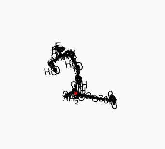 CC(C)C(NC(=O)CCOCCOCCOCCOCCN1C(=O)C=CC1=O)C(=O)NC(CCCNC(N)=O)C(=O)Nc1ccc(COC(=O)NCCOc2cnc3ccc(-c4[nH]c(CNc5cccc(C(=O)O)c5)nc4-c4cccc(C(F)F)n4)nc3c2)cc1